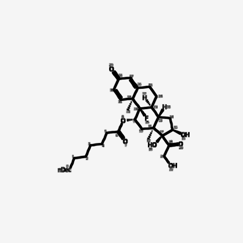 CCCCCCCCCCCCCCCC(=O)O[C@H]1C[C@@]2(C)[C@@H](C[C@@H](O)[C@]2(O)C(=O)CO)[C@@H]2CCC3=CC(=O)C=C[C@]3(C)[C@@]12F